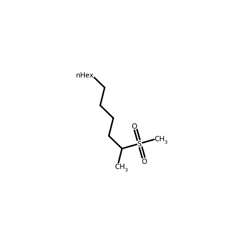 CCCCCCCCCCC(C)S(C)(=O)=O